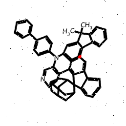 CC1(C)c2ccccc2-c2ccc(N(c3ccc(-c4ccccc4)cc3)c3cnccc3-c3cccc4c3C3(c5ccccc5-4)C4CC5CC(C4)CC3C5)cc21